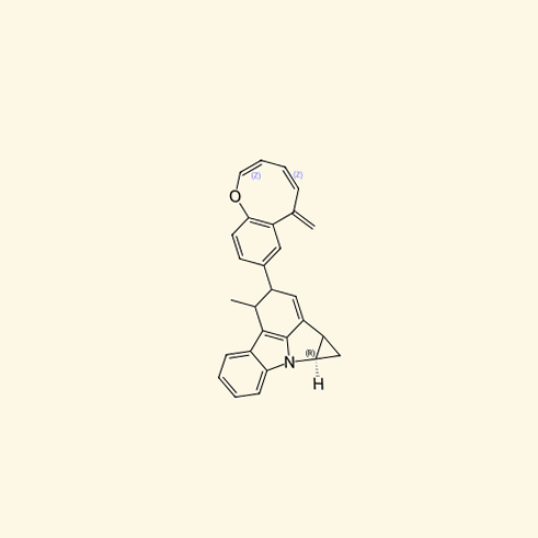 C=C1/C=C\C=C/Oc2ccc(C3C=C4c5c(c6ccccc6n5[C@@H]5CC45)C3C)cc21